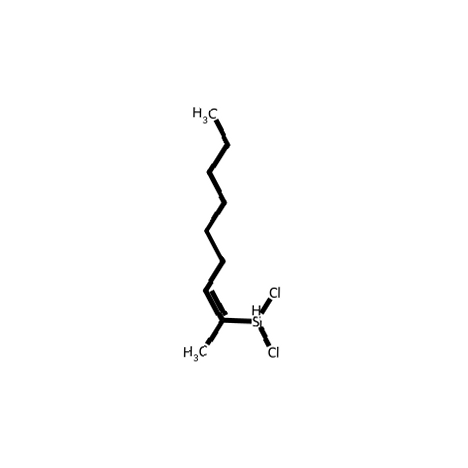 CCCCCCC=C(C)[SiH](Cl)Cl